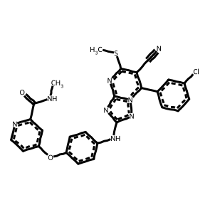 CNC(=O)c1cc(Oc2ccc(Nc3nc4nc(SC)c(C#N)c(-c5cccc(Cl)c5)n4n3)cc2)ccn1